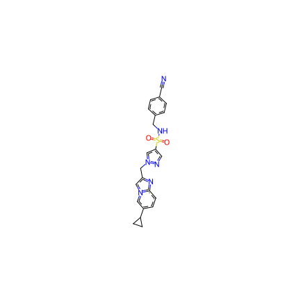 N#Cc1ccc(CNS(=O)(=O)c2cnn(Cc3cn4cc(C5CC5)ccc4n3)c2)cc1